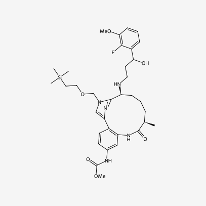 COC(=O)Nc1ccc2c(c1)NC(=O)[C@H](C)CCC[C@H](NCCC(O)c1cccc(OC)c1F)c1nc-2cn1COCC[Si](C)(C)C